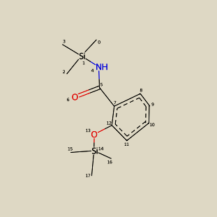 C[Si](C)(C)NC(=O)c1ccccc1O[Si](C)(C)C